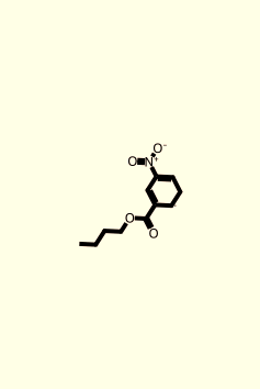 CCCCOC(=O)C1=CC([N+](=O)[O-])=CC[CH]1